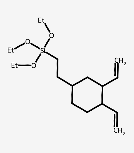 C=CC1CCC(CC[Si](OCC)(OCC)OCC)CC1C=C